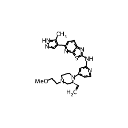 C=C[C@H]1CN(CCOC)CCN1c1ccnc(Nc2nc3ccc(-c4cn[nH]c4C)nc3s2)c1